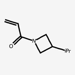 C=CC(=O)N1CC(C(C)C)C1